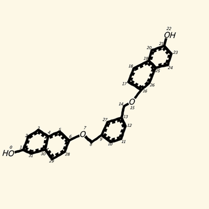 Oc1ccc2cc(OCc3cccc(COc4ccc5cc(O)ccc5c4)c3)ccc2c1